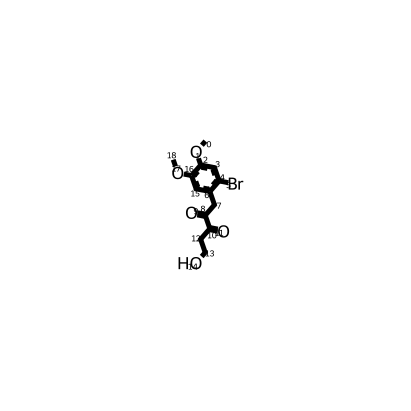 COc1cc(Br)c(CC(=O)C(=O)CCO)cc1OC